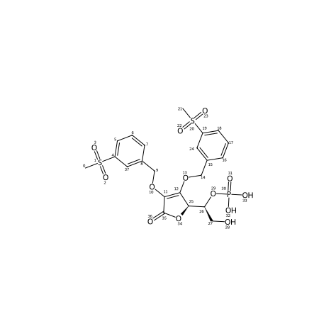 CS(=O)(=O)c1cccc(COC2=C(OCc3cccc(S(C)(=O)=O)c3)[C@@H]([C@H](CO)OP(=O)(O)O)OC2=O)c1